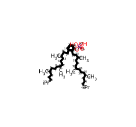 CC(C)CCC[C@@H](C)CCC[C@@H](C)CCCC(C)CCc1cccc(OP(=O)(O)O)c1CCC(C)CCC[C@H](C)CCC[C@H](C)CCCC(C)C